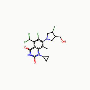 Cc1c(N2CC(F)C(CO)C2)c(F)c(C(F)F)c2c(=O)[nH]c(=O)n(C3CC3)c12